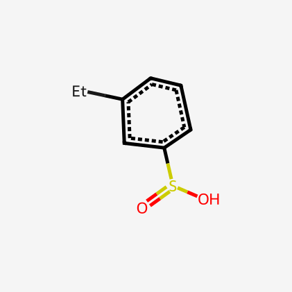 CCc1cccc(S(=O)O)c1